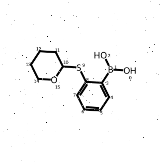 OB(O)c1ccccc1SC1CCCCO1